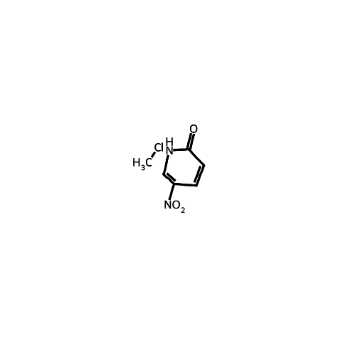 CCl.O=c1ccc([N+](=O)[O-])c[nH]1